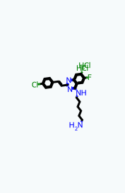 Cl.Cl.NCCCCCCNc1nc(C=Cc2ccc(Cl)cc2)nc2cc(F)c(F)cc12